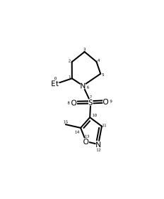 CCC1CCCCN1S(=O)(=O)c1cnoc1C